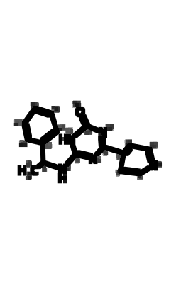 CC(Nc1nc(-c2ccncc2)nc(=O)[nH]1)c1ccccc1